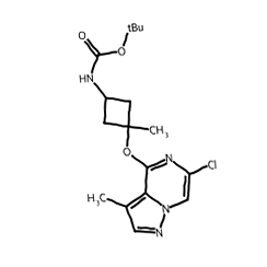 Cc1cnn2cc(Cl)nc(OC3(C)CC(NC(=O)OC(C)(C)C)C3)c12